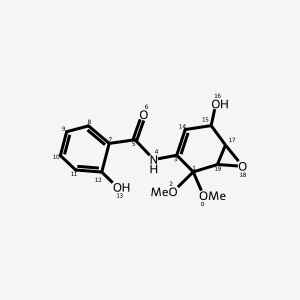 COC1(OC)C(NC(=O)c2ccccc2O)=CC(O)C2OC21